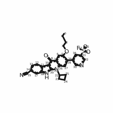 CCCCOc1cc2c(=O)c3c4ccc(C#N)cc4[nH]c3n(C3CCC3)c2cc1-c1cncc(S(=O)(=O)F)c1